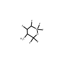 CC1C(F)C(F)[Si](F)(F)OC1(F)F